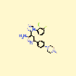 CN1CCN(c2ccc(-c3cc(-c4nncn4-c4cccc(F)c4F)c(N)nn3)cc2)CC1